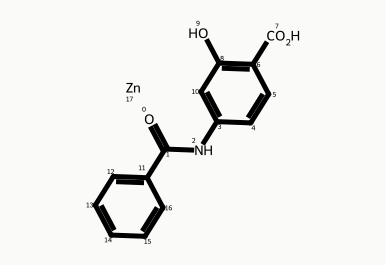 O=C(Nc1ccc(C(=O)O)c(O)c1)c1ccccc1.[Zn]